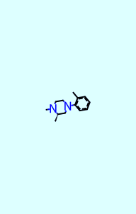 Cc1ccccc1N1CCN(C)[C@H](C)C1